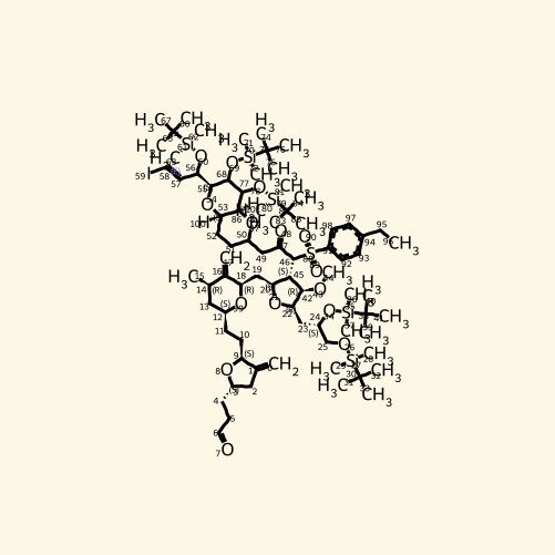 C=C1C[C@H](CCC=O)O[C@H]1CC[C@H]1C[C@@H](C)C(=C)[C@@H](C[C@@H]2O[C@H](C[C@@H](CO[Si](C)(C)C(C)(C)C)O[Si](C)(C)C(C)(C)C)[C@H](OC)[C@H]2C(C(=O)CC2CC[C@@H]3O[C@@H](C(/C=C/I)O[Si](C)(C)C(C)(C)C)C(O[Si](C)(C)C(C)(C)C)C(O[Si](C)(C)C(C)(C)C)[C@H]3O2)S(=O)(=O)c2ccc(CC)cc2)O1